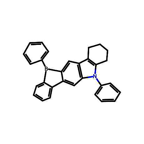 c1ccc(B2c3ccccc3-c3cc4c(cc32)c2c(n4-c3ccccc3)CCCC2)cc1